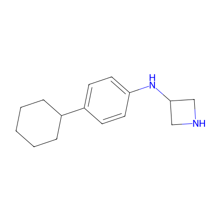 c1cc(C2CCCCC2)ccc1NC1CNC1